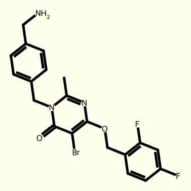 Cc1nc(OCc2ccc(F)cc2F)c(Br)c(=O)n1Cc1ccc(CN)cc1